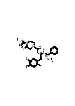 N[C@H](N[C@@H](CC(=O)N1CCn2c(nnc2C(F)(F)F)C1)Cc1cc(F)c(F)cc1F)c1ccccc1